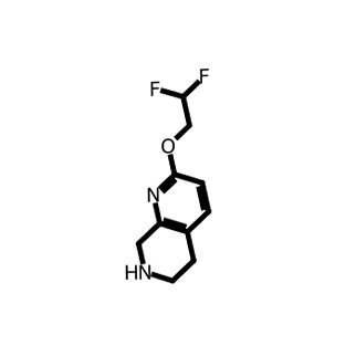 FC(F)COc1ccc2c(n1)CNCC2